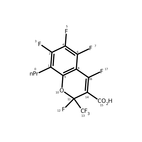 CCCc1c(F)c(F)c(F)c2c1OC(F)(C(F)(F)F)C(C(=O)O)=C2F